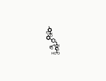 Cc1ccc([C@@]2(C)Oc3cccc(C4=CCN(Cc5nc6sc(C(=O)O)cc6n5C[C@@H]5CCO5)CC4)c3O2)c(F)c1